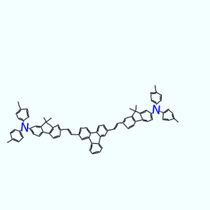 Cc1ccc(N(c2ccc(C)cc2)c2ccc3c(c2)C(C)(C)c2cc(/C=C/c4ccc5c6ccc(/C=C/c7ccc8c(c7)C(C)(C)c7cc(N(c9ccc(C)cc9)c9ccc(C)cc9)ccc7-8)cc6c6ccccc6c5c4)ccc2-3)cc1